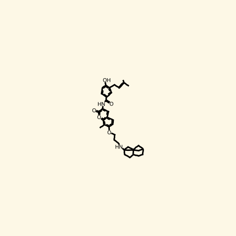 CC(C)=CCc1cc(C(=O)Nc2cc3ccc(OCCCNC45CCC6CCC(CC6C4)C5)c(C)c3oc2=O)ccc1O